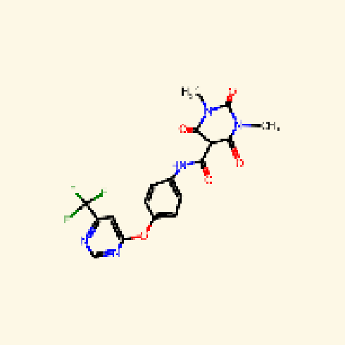 CN1C(=O)C(C(=O)Nc2ccc(Oc3cc(C(F)(F)F)ncn3)cc2)C(=O)N(C)C1=O